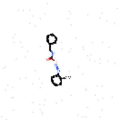 COc1ccccc1N=NOC(=O)NCc1ccccc1